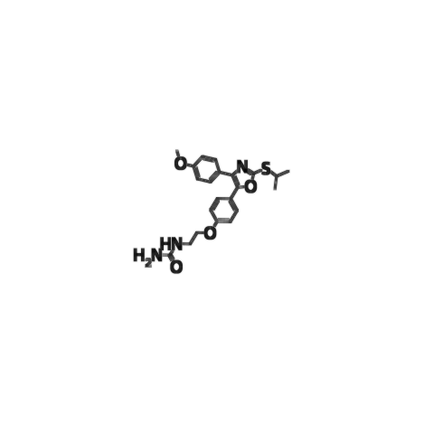 COc1ccc(-c2nc(SC(C)C)oc2-c2ccc(OCCNC(N)=O)cc2)cc1